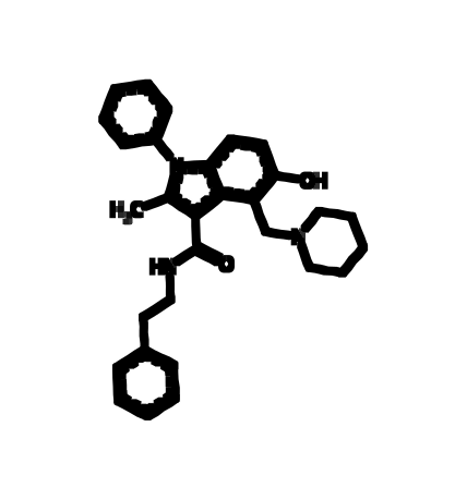 Cc1c(C(=O)NCCc2ccccc2)c2c(CN3CCCCC3)c(O)ccc2n1-c1ccccc1